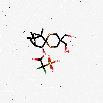 CC1(C)C2CCC1(C)C1(SCC(CO)(CO)CS1)C2OC(=O)C(F)(F)S(=O)(=O)O